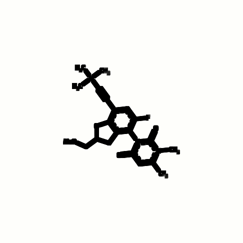 COCC1Cc2c(c(C#C[Si](C)(C)C)cc(F)c2-n2c(=O)cc(C(F)(F)F)n(C)c2=O)O1